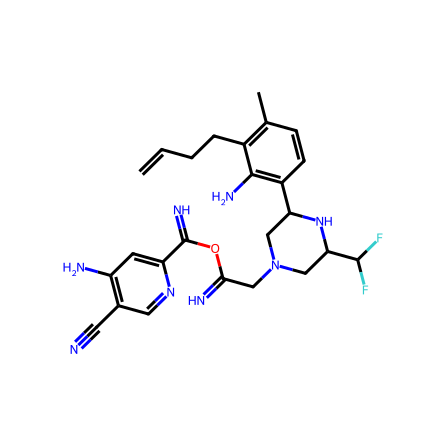 C=CCCc1c(C)ccc(C2CN(CC(=N)OC(=N)c3cc(N)c(C#N)cn3)CC(C(F)F)N2)c1N